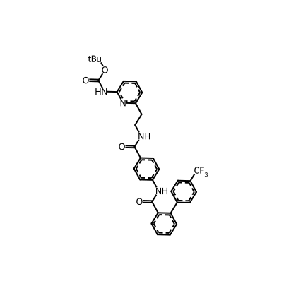 CC(C)(C)OC(=O)Nc1cccc(CCNC(=O)c2ccc(NC(=O)c3ccccc3-c3ccc(C(F)(F)F)cc3)cc2)n1